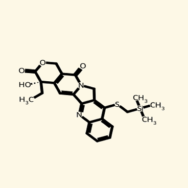 CC[C@@]1(O)C(=O)OCc2c1cc1n(c2=O)Cc2c-1nc1ccccc1c2SC[Si](C)(C)C